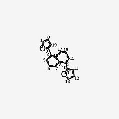 c1coc(-c2cccc3c(-c4ccco4)cccc23)c1